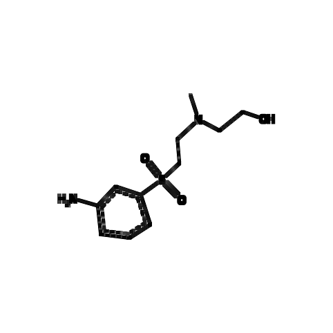 CN(CCO)CCS(=O)(=O)c1cccc(N)c1